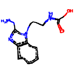 Nc1nc2ccccc2n1CCNC(=O)O